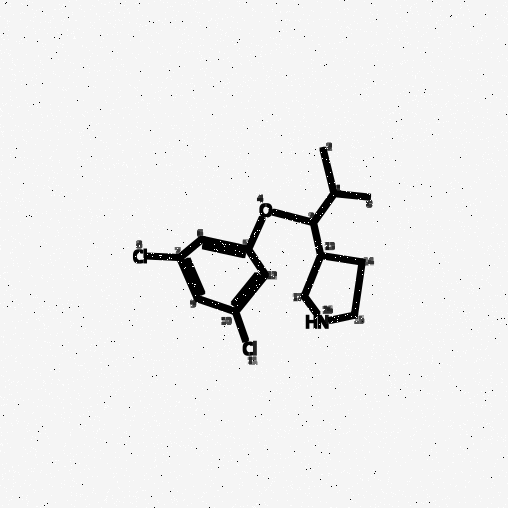 CC(C)C(Oc1cc(Cl)cc(Cl)c1)C1CCNC1